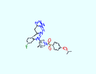 CC(C)Oc1ccc(S(=O)(=O)N2C[C@@H](C)[C@@H](n3nc(Cc4nnn[nH]4)c4ccc(F)cc43)C2)cc1